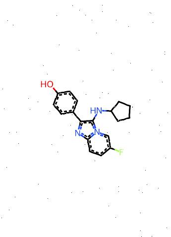 Oc1ccc(-c2nc3ccc(F)cn3c2NC2CCCC2)cc1